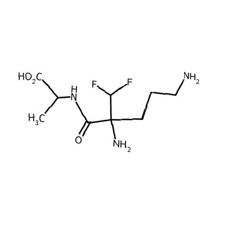 CC(NC(=O)C(N)(CCCN)C(F)F)C(=O)O